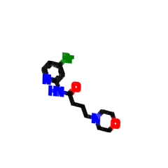 O=C(CCCN1CCOCC1)Nc1cc(Br)ccn1